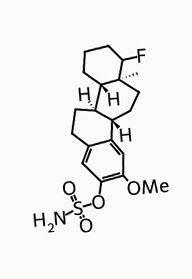 COc1cc2c(cc1OS(N)(=O)=O)CC[C@@H]1[C@@H]2CC[C@]2(C)C(F)CCC[C@@H]12